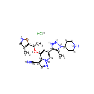 Cc1cnsc1C(C)Oc1cc(-c2nnn(C3CCNCC3)c2C)cn2ncc(C#N)c12.Cl